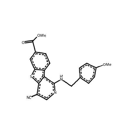 COC(=O)c1ccc2c(c1)sc1c(C#N)cnc(NCc3ccc(OC)cc3)c12